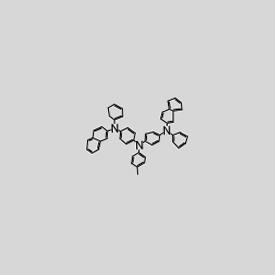 Cc1ccc(N(c2ccc(N(C3=CC=CCC3)c3ccc4ccccc4c3)cc2)c2ccc(N(c3ccccc3)c3ccc4ccccc4c3)cc2)cc1